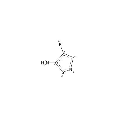 Nc1sncc1F